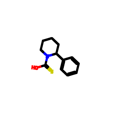 OC(=S)N1CCCCC1c1ccccc1